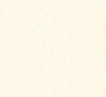 CC(C)(C)OC(=O)COc1ccc(C2CCCCC2)cc1